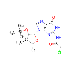 CC[C@H]1O[C@@H](n2cnc3c(=O)[nH]c(NC(=O)CCl)nc32)C(O[Si](C)(C)C(C)(C)C)[C@@H]1C